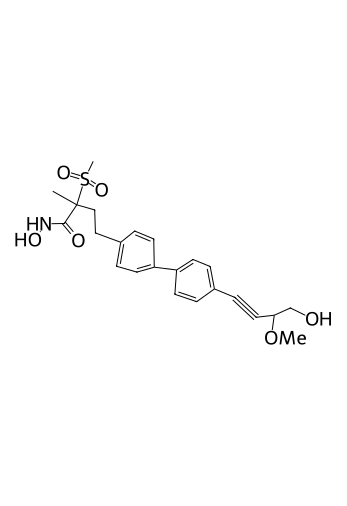 COC(C#Cc1ccc(-c2ccc(CCC(C)(C(=O)NO)S(C)(=O)=O)cc2)cc1)CO